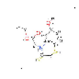 CCOC(=O)CN1C(=S)CSc2ccc(OC)cc21